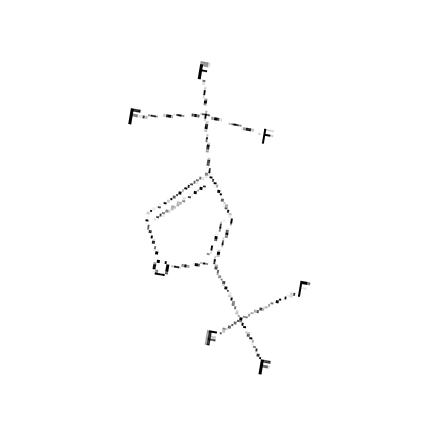 FC(F)(F)c1coc(C(F)(F)F)c1